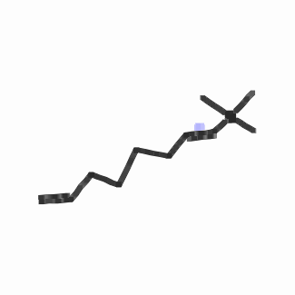 C=CCCCC/C=C/[Si](C)(C)C